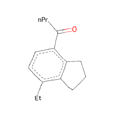 CCCC(=O)c1ccc(CC)c2c1CCC2